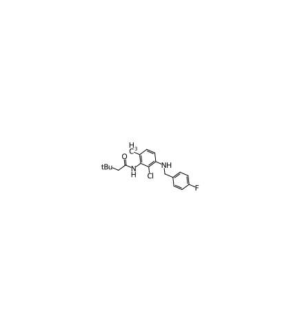 Cc1ccc(NCc2ccc(F)cc2)c(Cl)c1NC(=O)CC(C)(C)C